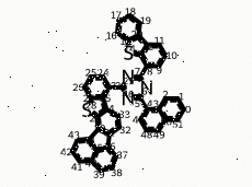 c1ccc2c(-c3nc(-c4cccc5c4sc4ccccc45)nc(-c4cccc5sc6c7c(ccc6c45)-c4cccc5cccc-7c45)n3)cccc2c1